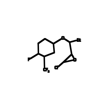 CCC(OC1CCC(F)C(C(F)(F)F)C1)C1OC1Cl